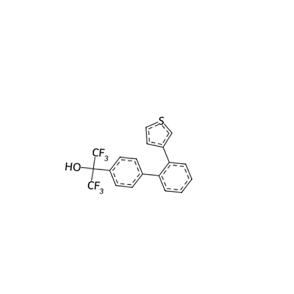 OC(c1ccc(-c2ccccc2-c2ccsc2)cc1)(C(F)(F)F)C(F)(F)F